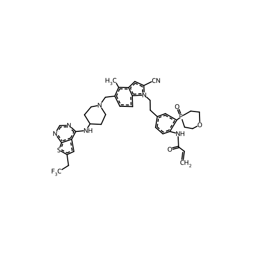 C=CC(=O)Nc1ccc(CCn2c(C#N)cc3c(C)c(CN4CCC(Nc5ncnc6sc(CC(F)(F)F)cc56)CC4)ccc32)cc1P1(=O)CCOCC1